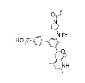 C=CC(=O)N1CCC(N(CC)c2cc(-c3ccc(C(=O)O)cc3)cc(C(=O)Cc3c(C)cc(C)[nH]c3=O)c2C)C1